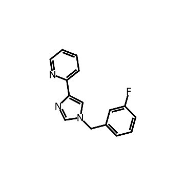 Fc1cccc(Cn2cnc(-c3ccccn3)c2)c1